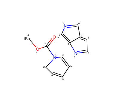 C1=NC=C2N=CC=C12.CC(C)(C)OC(=O)N1C=CC=CC1